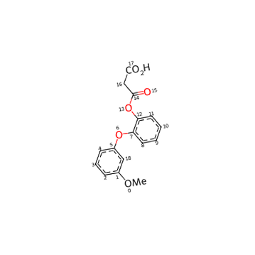 COc1cccc(Oc2ccccc2OC(=O)CC(=O)O)c1